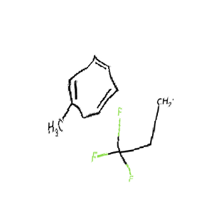 Cc1cc[c]cc1.[CH2]CC(F)(F)F